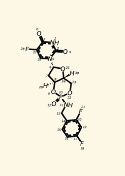 O=c1[nH]c(=O)n([C@H]2C[C@@H]3OP(=O)(NCc4ccc(F)cc4F)OC[C@H]3O2)cc1F